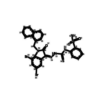 NS(=O)(=O)c1ccccc1NC(=S)NN=C1C(=O)N(Cc2cccc3ccccc23)c2c(Br)cc(Br)cc21